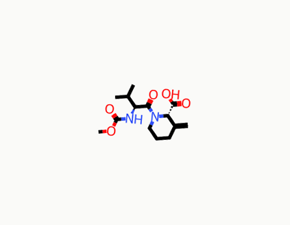 C=C1CCCN(C(=O)[C@@H](NC(=O)OC)C(C)C)[C@@H]1C(=O)O